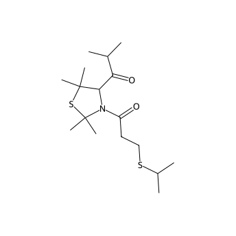 CC(C)SCCC(=O)N1C(C(=O)C(C)C)C(C)(C)SC1(C)C